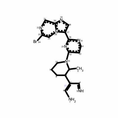 CC1C(/C(C=N)=C/N)CCCN1c1ccnc(-c2cnc3cnc(Br)cn23)n1